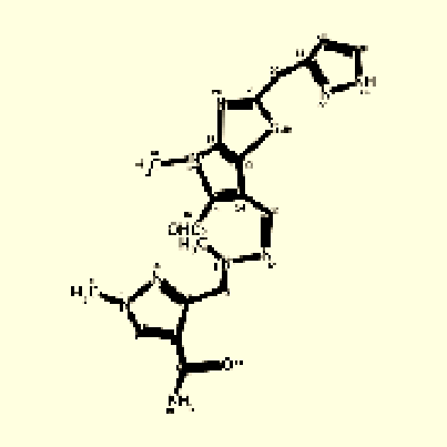 CN(Cc1nn(C)cc1C(N)=O)/N=C\c1c(C=O)n(C)c2nc(Cc3cc[nH]n3)sc12